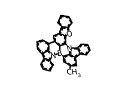 Cc1cc2c3c(c1)c1ccccc1n3-c1c3c(cc4c1oc1ccccc14)-c1cccc4c5ccccc5n(c14)B32